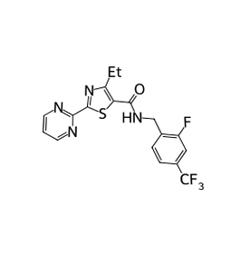 CCc1nc(-c2ncccn2)sc1C(=O)NCc1ccc(C(F)(F)F)cc1F